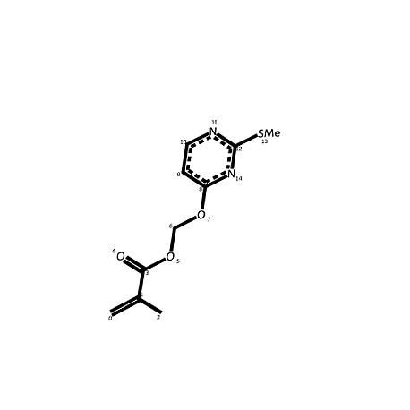 C=C(C)C(=O)OCOc1ccnc(SC)n1